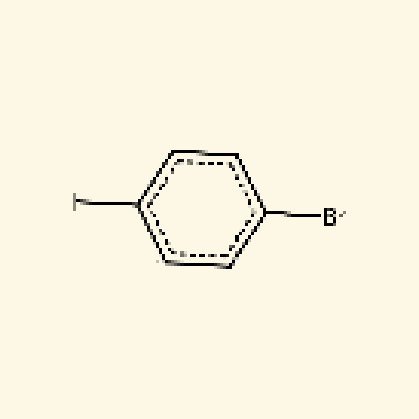 Brc1c[c]c(I)cc1